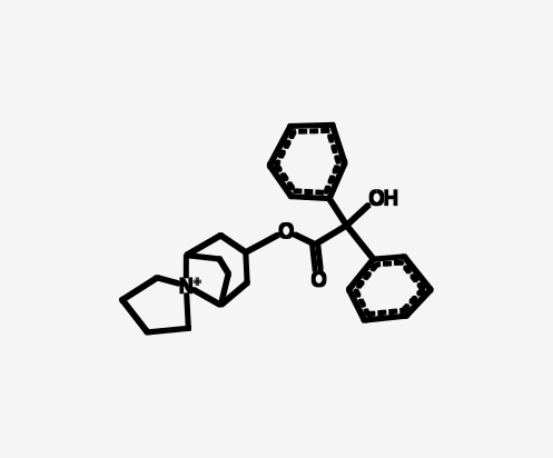 O=C(OC1CC2CCC(C1)[N+]21CCCC1)C(O)(c1ccccc1)c1ccccc1